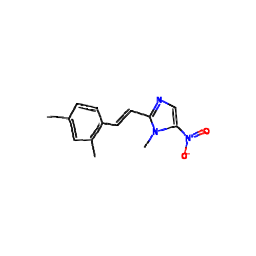 Cc1ccc(/C=C/c2ncc([N+](=O)[O-])n2C)c(C)c1